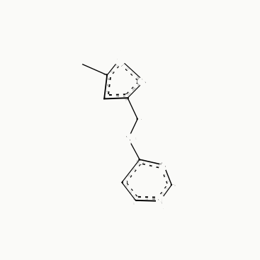 Cc1cc(CNc2c[c]ncn2)no1